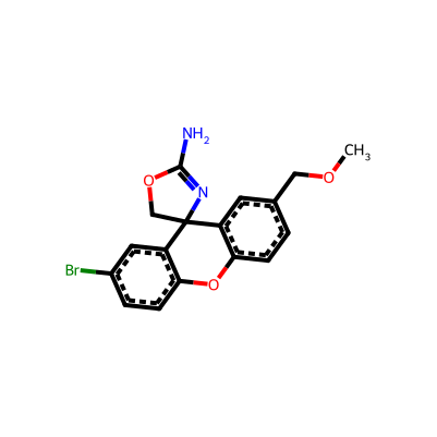 COCc1ccc2c(c1)C1(COC(N)=N1)c1cc(Br)ccc1O2